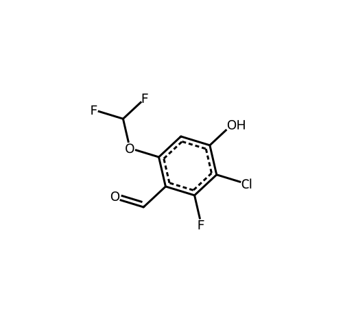 O=Cc1c(OC(F)F)cc(O)c(Cl)c1F